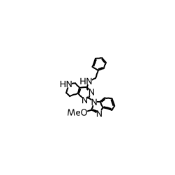 COc1nc2ccccc2n1-c1nc2c(c(NCc3ccccc3)n1)CNCC2